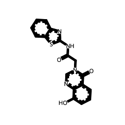 O=C(Cn1cnc2c(O)cccc2c1=O)Nc1nc2ccccc2s1